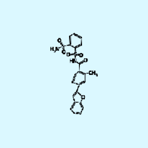 Cc1cc(-c2cc3ccccc3o2)ccc1C(=O)NS(=O)(=O)c1ccccc1S(N)(=O)=O